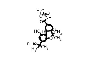 CCCCCCC(C)(C)c1cc(O)c2c(c1)OC(C)(C)[C@@H]1CC=C(C(=O)NS(C)(=O)=O)C[C@@H]21